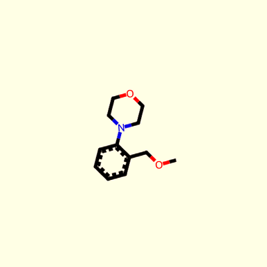 COCc1ccccc1N1CCOCC1